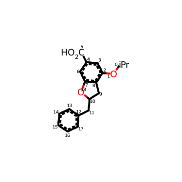 CC(C)Oc1cc(C(=O)O)cc2c1CC(Cc1ccccc1)O2